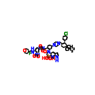 CC1(C)CCC(CN2CCN(c3ccc(C(=O)NS(=O)(=O)c4ccc(NCC5(F)CCOCC5)c([N+](=O)[O-])c4)c(N4CCS(O)(O)c5nc6[nH]ccc6cc54)c3)CC2)=C(c2ccc(Cl)cc2)C1